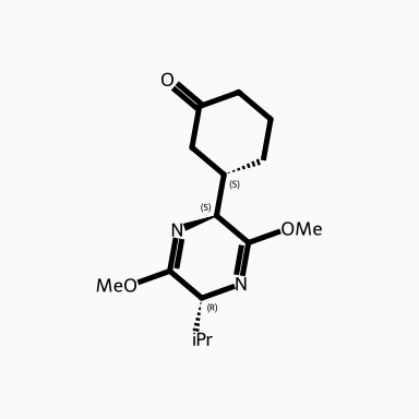 COC1=N[C@H](C(C)C)C(OC)=N[C@H]1[C@H]1CCCC(=O)C1